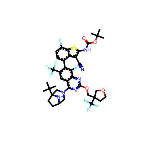 CC(C)(C)OC(=O)Nc1sc2c(F)ccc(-c3c(C(F)(F)F)cc4c(N5CC6CCC(C(C)(C)C)(C5)N6)nc(OCC5(C(F)(F)F)CCOC5)nc4c3F)c2c1C#N